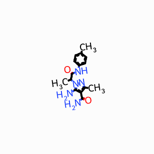 Cc1ccc(NC(=O)C(C)n2nc(C)c(C(N)=O)c2N)cc1